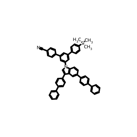 C[Si](C)(C)c1ccc(-c2cc(-c3ccc(C#N)cc3)cc(-n3cc(-c4ccc(-c5ccccc5)cc4)c4cc(-c5ccc(-c6ccccc6)cc5)ccc43)c2)cc1